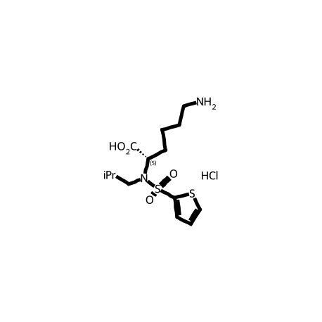 CC(C)CN([C@@H](CCCCN)C(=O)O)S(=O)(=O)c1cccs1.Cl